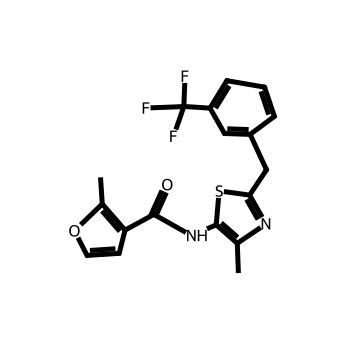 Cc1nc(Cc2cccc(C(F)(F)F)c2)sc1NC(=O)c1ccoc1C